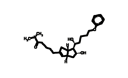 CN(C)C(=O)CCCCC1=C[C@H]2C[C@@H](O)[C@H]([C@H](O)CCCCOc3ccccc3)[C@H]2C1